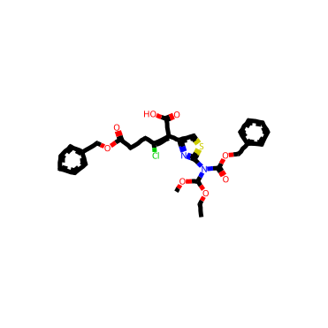 CCOC(OC)N(C(=O)OCc1ccccc1)c1nc(C(C(=O)O)=C(Cl)CCC(=O)OCc2ccccc2)cs1